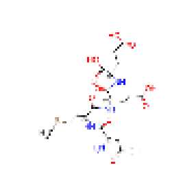 CSCC[C@H](NC(=O)[C@@H](N)CC(=O)O)C(=O)N[C@@H](CCC(=O)O)C(=O)N[C@@H](CCC(=O)O)C(=O)O